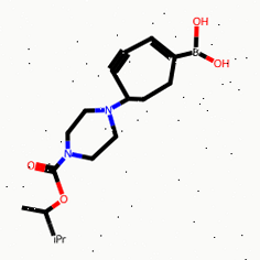 CC(C)C(C)OC(=O)N1CCN(C2C#CC=C(B(O)O)CC2)CC1